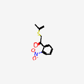 C=C(C)SCC(=O)c1ccccc1[N+](=O)[O-]